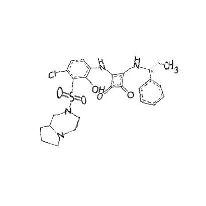 CC[C@@H](Nc1c(Nc2ccc(Cl)c(S(=O)(=O)N3CCN4CCCC4C3)c2O)c(=O)c1=O)c1ccccc1